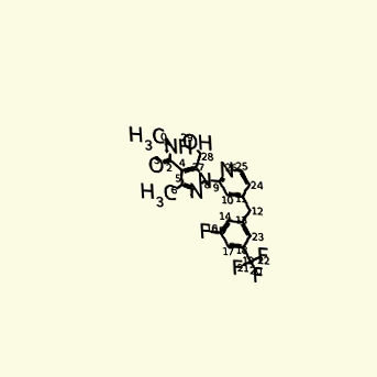 CNC(=O)c1c(C)nn(-c2cc(Cc3cc(F)cc(C(F)(F)F)c3)ccn2)c1CO